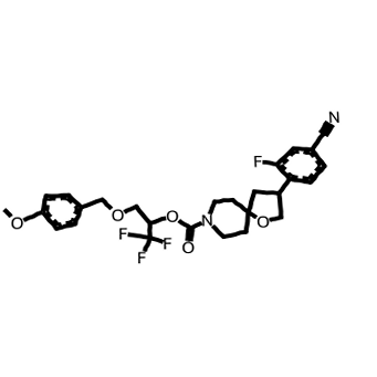 COc1ccc(COCC(OC(=O)N2CCC3(CC2)CC(c2ccc(C#N)cc2F)CO3)C(F)(F)F)cc1